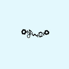 O=C1N(CCCN2CCN(c3ccccc3)CC2)CCN1c1ccccc1